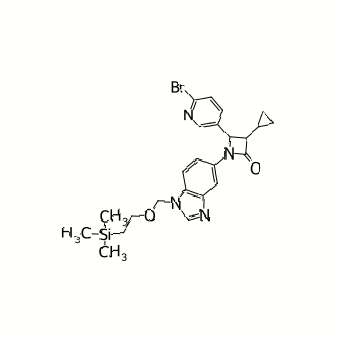 C[Si](C)(C)CCOCn1cnc2cc(N3C(=O)C(C4CC4)C3c3ccc(Br)nc3)ccc21